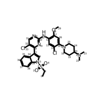 CCS(=O)(=O)n1cc(-c2nc(Nc3cc(Cl)c(N4CCC(N(C)C)CC4)cc3OC)ncc2Cl)c2ccccc21